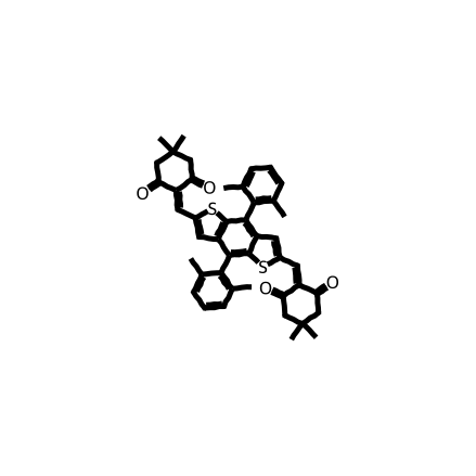 Cc1cccc(C)c1-c1c2cc(C=C3C(=O)CC(C)(C)CC3=O)sc2c(-c2c(C)cccc2C)c2cc(C=C3C(=O)CC(C)(C)CC3=O)sc12